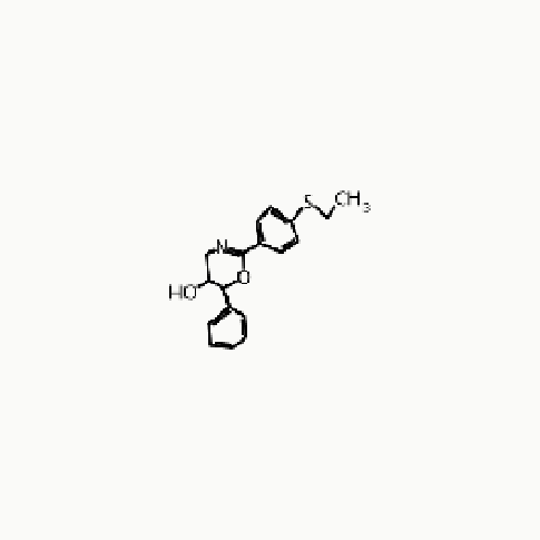 CCSc1ccc(C2=NCC(O)C(c3ccccc3)O2)cc1